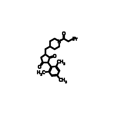 Cc1cc(C)c(C2C(=O)CC(CC3CCN(C(=O)CC(C)C)CC3)C2=O)c(C)c1